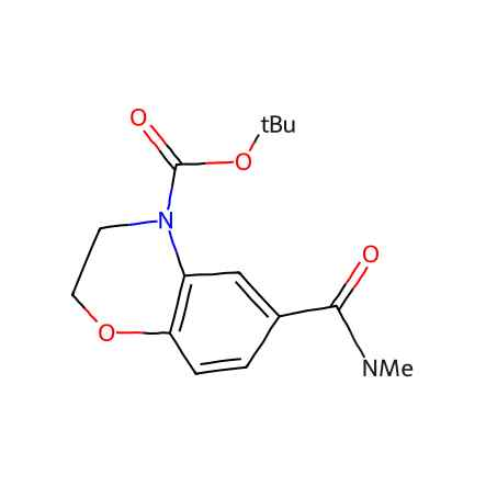 CNC(=O)c1ccc2c(c1)N(C(=O)OC(C)(C)C)CCO2